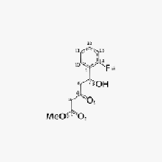 COC(=O)CC(=O)CC(O)c1ccccc1F